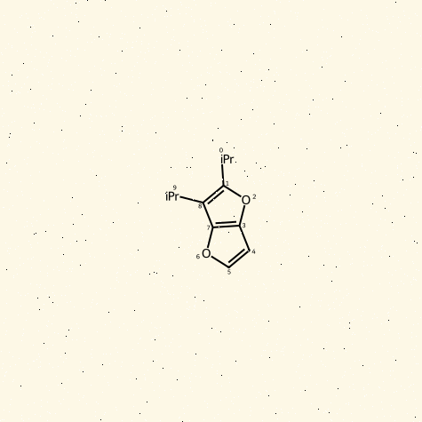 CC(C)c1oc2ccoc2c1C(C)C